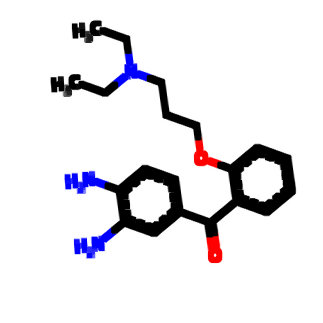 CCN(CC)CCCOc1ccccc1C(=O)c1ccc(N)c(N)c1